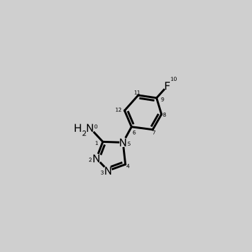 Nc1nncn1-c1ccc(F)cc1